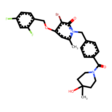 Cc1cc(OCc2ccc(F)cc2F)c(Br)c(=O)n1Cc1ccc(C(=O)N2CCC(C)(O)CC2)cc1